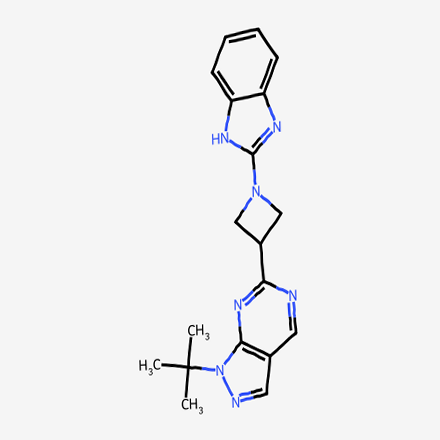 CC(C)(C)n1ncc2cnc(C3CN(c4nc5ccccc5[nH]4)C3)nc21